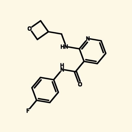 O=C(Nc1ccc(F)cc1)c1cccnc1NCC1COC1